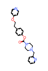 O=C(Oc1ccc(CCOc2ccncc2)cc1)N1CCN(Cc2ccccn2)CC1